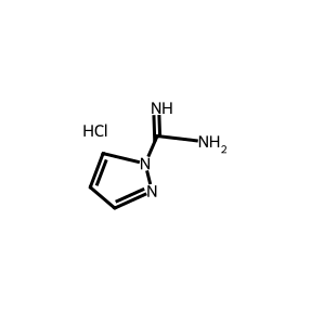 Cl.N=C(N)n1cccn1